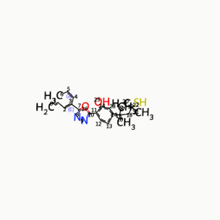 C=C/C=C(\C=C/C)c1nnc(-c2ccc(C(C)(C)CC(C)(C)S)cc2O)o1